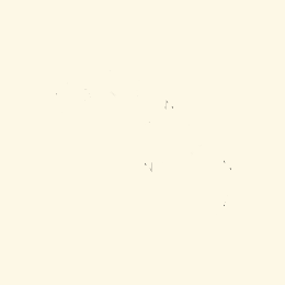 Cc1c(B2OC(C)(C)C(C)(C)O2)cccc1-c1nc2cc(CN3CC[C@@H](O)C3)cc(C#N)c2o1